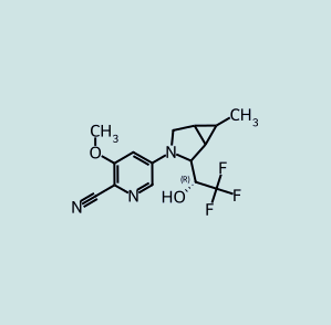 COc1cc(N2CC3C(C)C3C2[C@@H](O)C(F)(F)F)cnc1C#N